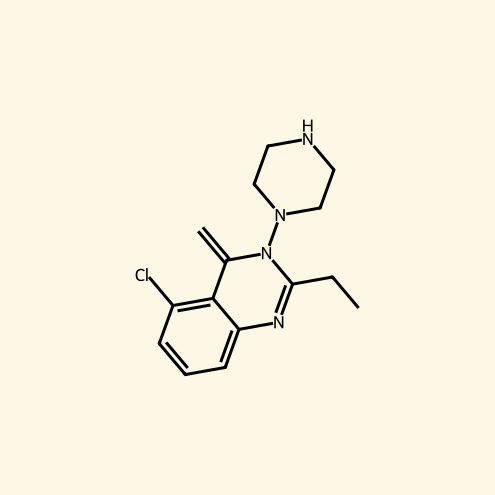 C=C1c2c(Cl)cccc2N=C(CC)N1N1CCNCC1